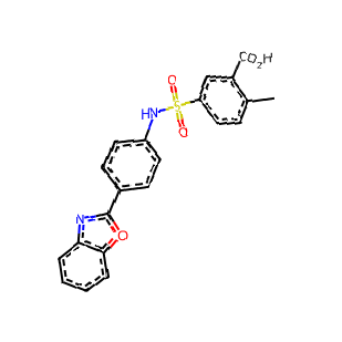 Cc1ccc(S(=O)(=O)Nc2ccc(-c3nc4ccccc4o3)cc2)cc1C(=O)O